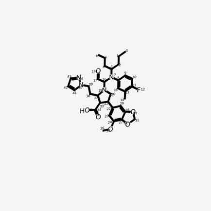 CCCC(CCC)N(c1ccc(F)c(C)c1)C(C=O)N1CC(c2cc(OC)c3c(c2)OCO3)C(C(=O)O)C1CCn1cccn1